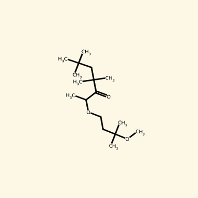 COC(C)(C)CCOC(C)C(=O)C(C)(C)CC(C)(C)C